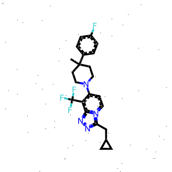 CC1(c2ccc(F)cc2)CCN(c2ccn3c(CC4CC4)nnc3c2C(F)(F)F)CC1